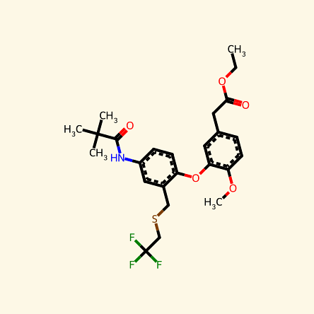 CCOC(=O)Cc1ccc(OC)c(Oc2ccc(NC(=O)C(C)(C)C)cc2CSCC(F)(F)F)c1